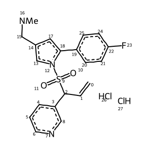 C=CC(c1cccnc1)S(=O)(=O)n1cc(CNC)cc1-c1ccc(F)cc1.Cl.Cl